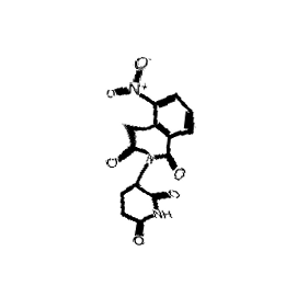 O=C1CCC(N2C(=O)Cc3c(cccc3[N+](=O)[O-])C2=O)C(=O)N1